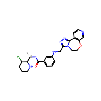 C[C@H](NC(=O)c1cccc(NCc2nnc3n2CCOc2cnccc2-3)c1)C1NCCCC1Cl